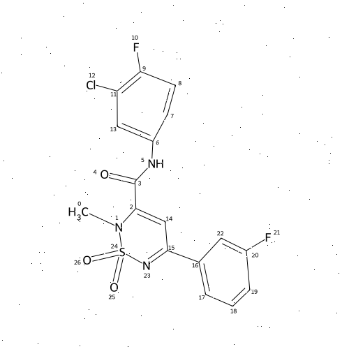 CN1C(C(=O)Nc2ccc(F)c(Cl)c2)=CC(c2cccc(F)c2)=NS1(=O)=O